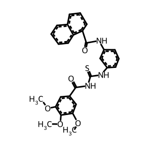 COc1cc(C(=O)NC(=S)Nc2cccc(NC(=O)c3cccc4ccccc34)c2)cc(OC)c1OC